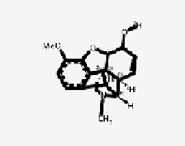 [2H]OC1C=C[C@@]2([2H])[C@@H]3N(C)CC[C@@]24c2c(ccc(OC)c2OC14)C3([2H])[2H]